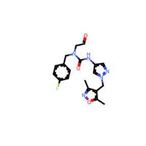 Cc1noc(C)c1Cn1cc(NC(=O)N(CC=O)Cc2ccc(F)cc2)cn1